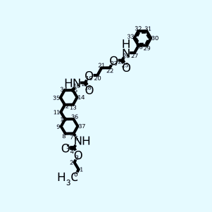 CCCOC(=O)NC1CCC(CC2CCC(NC(=O)OCCCOC(=O)NCc3ccccc3)CC2)CC1